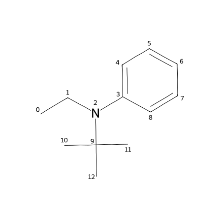 CCN(c1ccccc1)C(C)(C)C